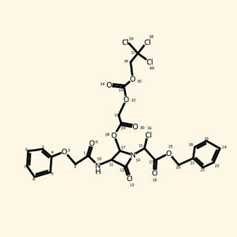 O=C(COc1ccccc1)NC1C(=O)N(C(Cl)C(=O)OCc2ccccc2)C1OC(=O)COC(=O)OCC(Cl)(Cl)Cl